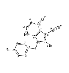 Cc1ccc(Cn2c(Br)c(C#N)c3c(=O)nc[nH]c32)cc1